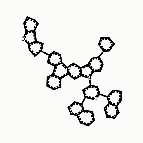 c1ccc(-c2ccc3c(c2)c2cc4c5ccc(-c6ccc7oc8ccccc8c7c6)cc5c5ccccc5c4cc2n3-c2cc(-c3cccc4ccccc34)nc(-c3cccc4ccccc34)c2)cc1